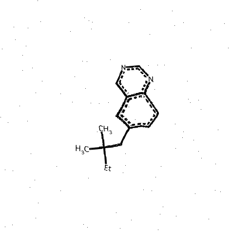 CCC(C)(C)Cc1ccc2ncncc2c1